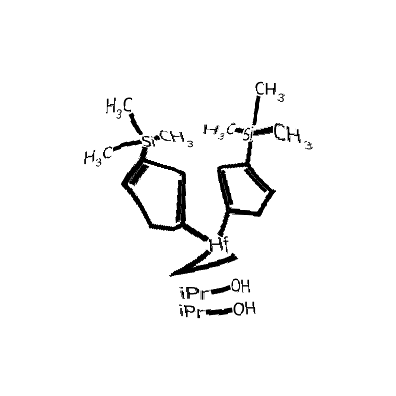 CC(C)O.CC(C)O.C[Si](C)(C)C1=CC[C]([Hf]2([C]3=CC([Si](C)(C)C)=CC3)[CH2][CH2]2)=C1